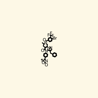 CC1Cc2c(n3ncc(Cc4ccccc4)c3n(-c3ccc(-c4nc(=O)on4C)cc3)c2=O)CN1C(=O)c1ccc(Br)c(C(F)(F)F)c1